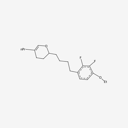 CCCC1=COC(CCCCc2ccc(OCC)c(F)c2F)CC1